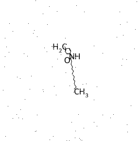 [CH2]c1ccc(NC(=O)CCCCCCCCCCCCC)cc1